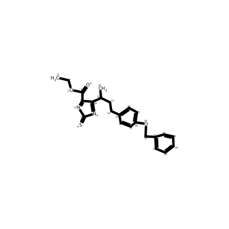 CCOC(=O)C1=NC(=S)N=C1C(C)CCc1ccc(OCc2ccccc2)cc1